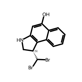 Oc1cc2c(c3ccccc13)[C@H](C(Br)Br)CN2